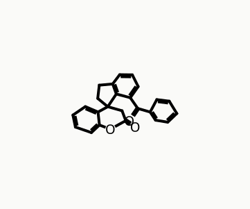 O=C1CC2(CCc3cccc(C(=O)c4ccccc4)c32)c2ccccc2O1